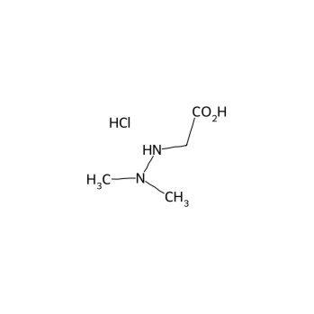 CN(C)NCC(=O)O.Cl